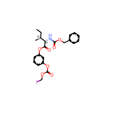 CC[C@H](C)[C@H](NC(=O)OCc1ccccc1)C(=O)Oc1cccc(OC(=O)OCI)c1